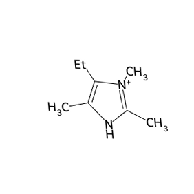 CCc1c(C)[nH]c(C)[n+]1C